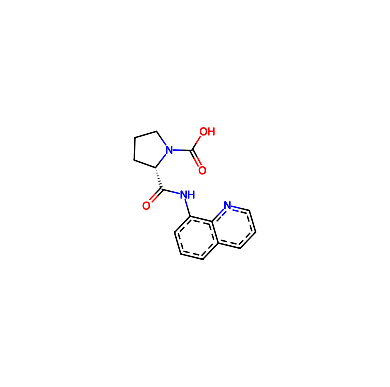 O=C(Nc1cccc2cccnc12)[C@@H]1CCCN1C(=O)O